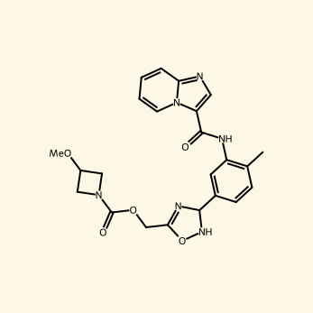 COC1CN(C(=O)OCC2=NC(c3ccc(C)c(NC(=O)c4cnc5ccccn45)c3)NO2)C1